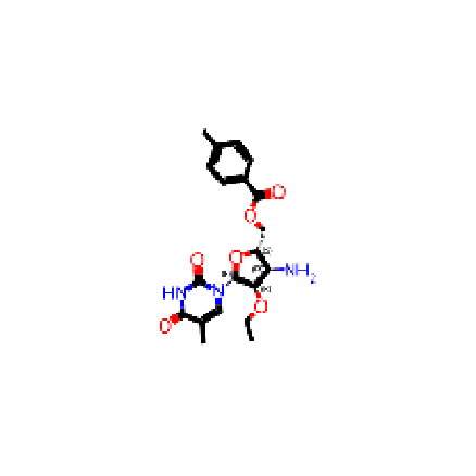 CCO[C@@H]1[C@H](N)[C@@H](COC(=O)c2ccc(C)cc2)O[C@H]1n1cc(C)c(=O)[nH]c1=O